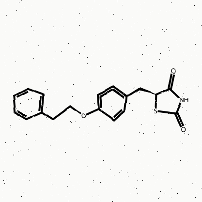 O=C1NC(=O)[C@H](CC2=C=C=C(OCCc3ccccc3)C=C2)S1